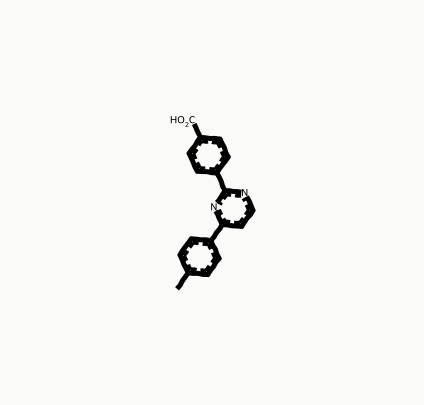 Cc1ccc(-c2ccnc(-c3ccc(C(=O)O)cc3)n2)cc1